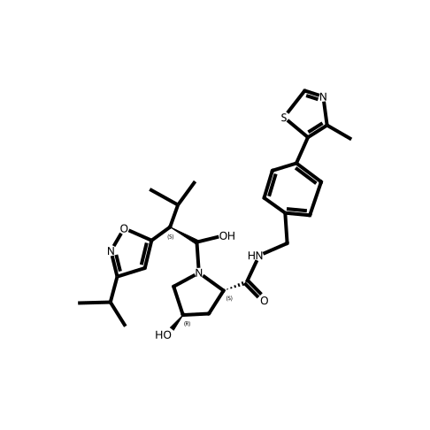 Cc1ncsc1-c1ccc(CNC(=O)[C@@H]2C[C@@H](O)CN2C(O)[C@@H](c2cc(C(C)C)no2)C(C)C)cc1